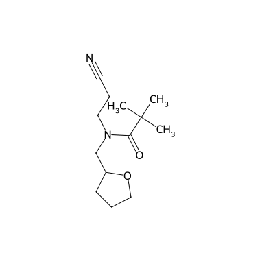 CC(C)(C)C(=O)N(CCC#N)CC1CCCO1